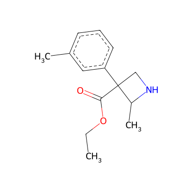 CCOC(=O)C1(c2cccc(C)c2)CNC1C